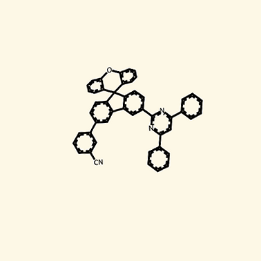 N#Cc1cccc(-c2ccc3c(c2)-c2cc(-c4nc(-c5ccccc5)cc(-c5ccccc5)n4)ccc2C32c3ccccc3Oc3ccccc32)c1